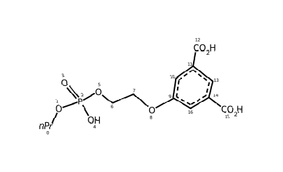 CCCOP(=O)(O)OCCOc1cc(C(=O)O)cc(C(=O)O)c1